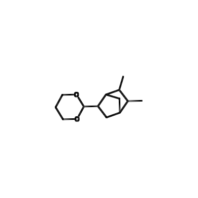 CC1C2CC(C3OCCCO3)C(C2)C1C